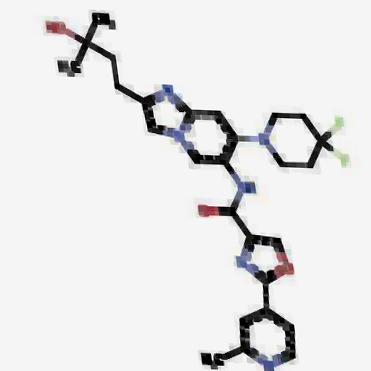 Cc1cc(-c2nc(C(=O)Nc3cn4cc(CCC(C)(C)O)nc4cc3N3CCC(F)(F)CC3)co2)ccn1